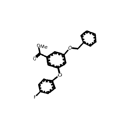 COC(=O)c1cc(OCc2ccccc2)cc(Oc2ccc(F)cc2)c1